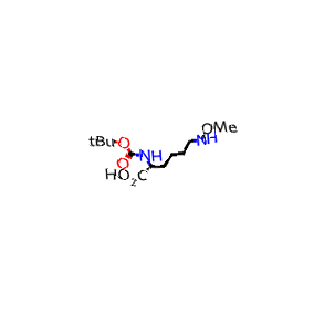 CONCCCC[C@H](NC(=O)OC(C)(C)C)C(=O)O